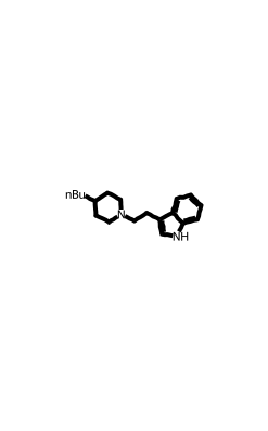 CCCCC1CCN(CCc2c[nH]c3ccccc23)CC1